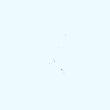 Cc1cc(C2=C(O)C3(CCN(O)CC3)N(OCO)C2=O)c(C)cc1Cl